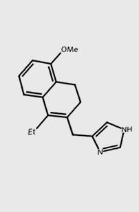 CCC1=C(Cc2c[nH]cn2)CCc2c(OC)cccc21